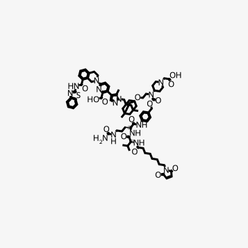 Cc1c(-c2ccc(N3CCc4cccc(C(=O)Nc5nc6ccccc6s5)c4C3)nc2C(=O)O)cnn1CC12CC3(C)CC(C)(C1)CC(OCCN(C(=O)OCc1ccc(NC(=O)[C@H](CCCNC(N)=O)NC(=O)[C@@H](NC(=O)CCCCCCCN4C(=O)C=CC4=O)C(C)C)cc1)C1CCN(CC(=O)O)CC1)(C3)C2